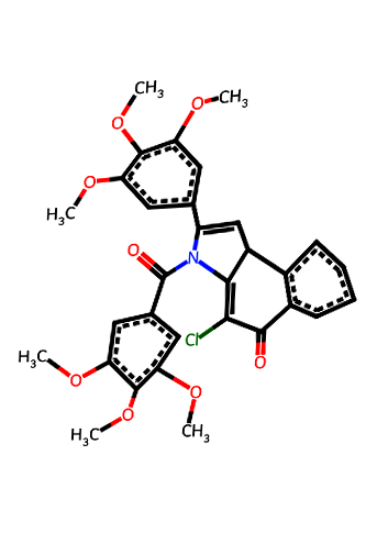 COc1cc(C(=O)N2C(c3cc(OC)c(OC)c(OC)c3)=CC3C2=C(Cl)C(=O)c2ccccc23)cc(OC)c1OC